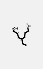 CCC(CCCO)CCCO